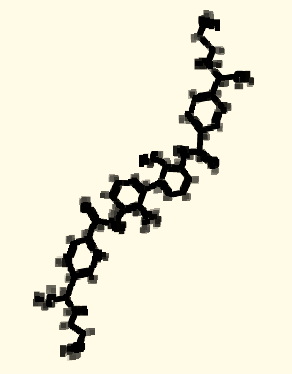 Cc1c(NC(=O)c2cnc(C(C)NCCO)cn2)cccc1-c1cccc(NC(=O)c2cnc(C(C)NCCO)cn2)c1C